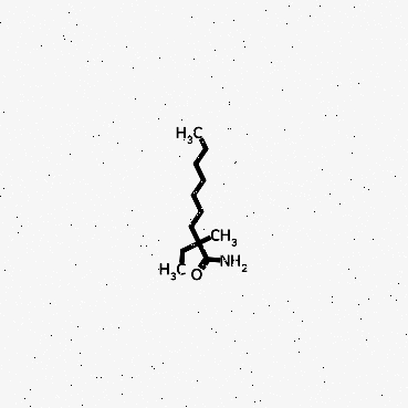 CCCCCCCC(C)(CC)C(N)=O